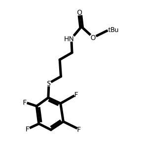 CC(C)(C)OC(=O)NCCCSc1c(F)c(F)cc(F)c1F